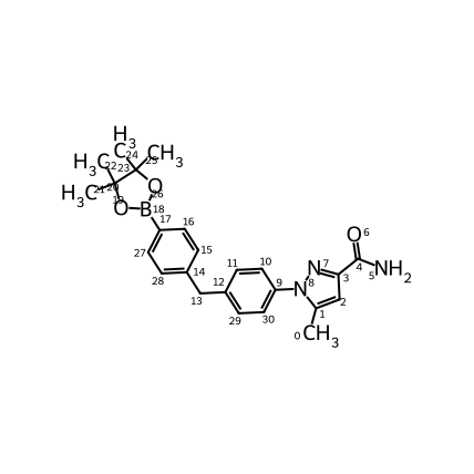 Cc1cc(C(N)=O)nn1-c1ccc(Cc2ccc(B3OC(C)(C)C(C)(C)O3)cc2)cc1